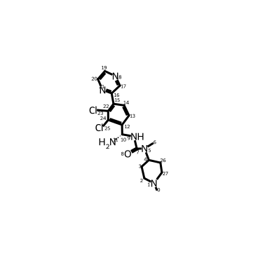 CN1CCC(N(C)C(=O)N[C@H](N)c2ccc(-c3cnccn3)c(Cl)c2Cl)CC1